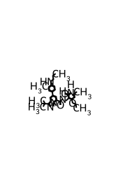 CCCNc1ccc(-c2cc(C(=O)NCc3c(OCC)cc(C)[nH]c3=O)n3cnc(C(C)C)c3c2)cc1C